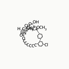 CO[C@@]12C[C@@H](C(=O)O)N(C1)C(=O)[C@H](C(C)(C)C)NC(=O)OCCCCCCc1ccc(Cl)cc1-c1ccc2cc1